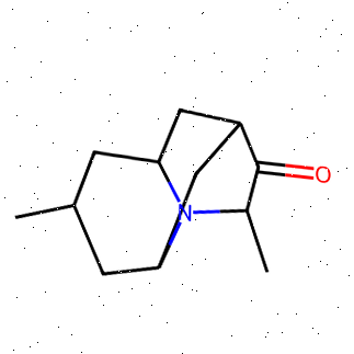 CC1CC2CC3CC(C1)N2C(C)C3=O